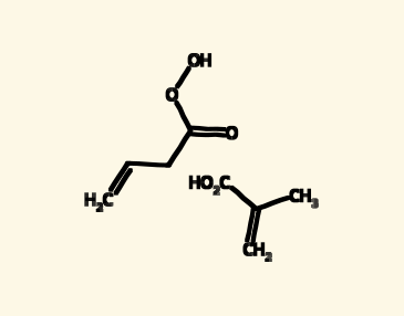 C=C(C)C(=O)O.C=CCC(=O)OO